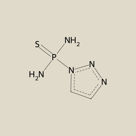 NP(N)(=S)n1ccnn1